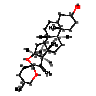 C=C1[C@H]2[C@H](C[C@H]3[C@@H]4CCC5CC(O)CC[C@]5(C)[C@H]4CC[C@@]32C)O[C@]12CCC(C)CO2